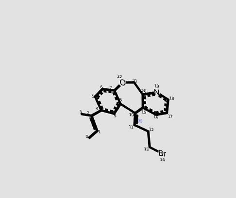 CC=C(C)c1ccc2c(c1)/C(=C/CCBr)c1cccnc1CO2